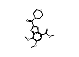 COC(=O)c1cc(OC)c(OC)c2oc(C(=O)N3CCOCC3)cc12